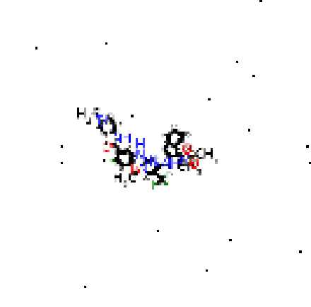 COc1cc(F)c(C(=O)NC2CCN(C)CC2)cc1Nc1ncc(C(F)(F)F)c(N[C@@H]2Cc3ccccc3[C@H]2N(C)S(C)(=O)=O)n1